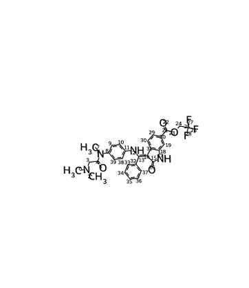 CN(C)CC(=O)N(C)c1ccc(NC(=C2C(=O)Nc3cc(C(=O)OCC(F)(F)F)ccc32)c2ccccc2)cc1